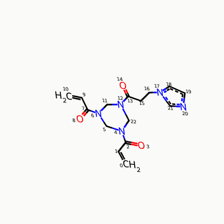 C=CC(=O)N1CN(C(=O)C=C)CN(C(=O)CCn2ccnc2)C1